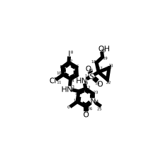 Cc1c(Nc2ccc(I)cc2Cl)c(NS(=O)(=O)C2(CCO)CC2)cn(C)c1=O